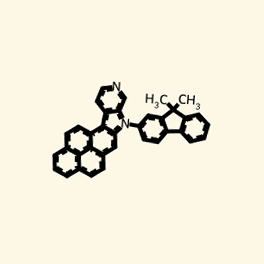 CC1(C)c2ccccc2-c2ccc(-n3c4cnccc4c4c5ccc6cccc7ccc(cc43)c5c76)cc21